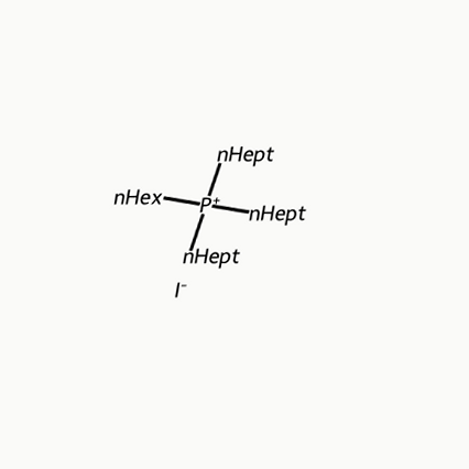 CCCCCCC[P+](CCCCCC)(CCCCCCC)CCCCCCC.[I-]